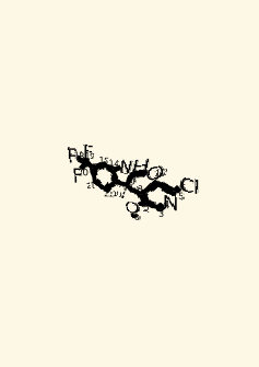 COc1cnc(Cl)cc1[C@]1(C)C(=O)Nc2cc(C(F)(F)F)ccc21